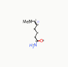 CN/C=C\CCCC(N)=O